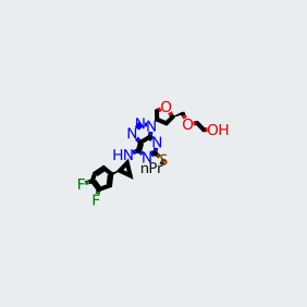 CCCSc1nc(N[C@@H]2C[C@H]2c2ccc(F)c(F)c2)c2nnn([C@H]3CO[C@@H](COCCO)C3)c2n1